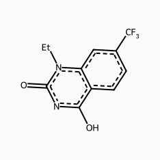 CCn1c(=O)nc(O)c2ccc(C(F)(F)F)cc21